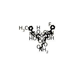 Cc1cccc(-c2cn(C3C(O)C(CO)OC(SC4OC(COC(=O)CCC(N)=O)C(O)C(n5cc(-c6cccc(F)c6)nn5)C4O)C3O)nn2)c1